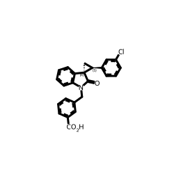 O=C(O)c1cccc(CN2C(=O)[C@@]3(C[C@H]3c3cccc(Cl)c3)c3ccccc32)c1